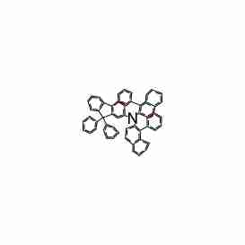 c1ccc(-c2c(N(c3ccc4c(c3)C(c3ccccc3)(c3ccccc3)c3ccccc3-4)c3ccc4ccccc4c3-c3ccccc3)ccc3ccccc23)cc1